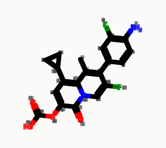 Cc1c(-c2ccc(N)c(F)c2)c(F)cn2c(=O)c(OC(=O)O)cc(C3CC3)c12